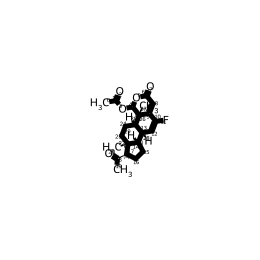 CC(=O)OC1OC(=O)C=C2C(F)=C[C@H]3[C@@H]4CC[C@H](C(C)=O)[C@@]4(C)CC[C@@H]3[C@]21C